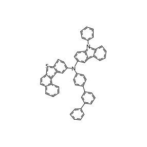 c1ccc(-c2cccc(-c3ccc(N(c4ccc5sc6ccc7ccccc7c6c5c4)c4ccc5c(c4)c4ccccc4n5-c4ccccc4)cc3)c2)cc1